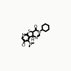 CN(C)c1c(Cl)cnc2c1[C@H]1N=CN(C3CCCCC3)C(=O)C1S2